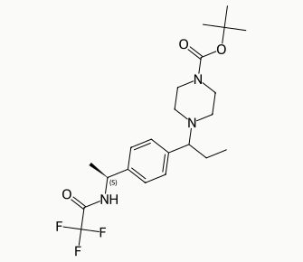 CCC(c1ccc([C@H](C)NC(=O)C(F)(F)F)cc1)N1CCN(C(=O)OC(C)(C)C)CC1